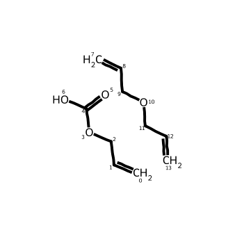 C=CCOC(=O)O.C=CCOCC=C